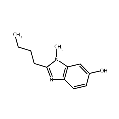 CCCCc1nc2ccc(O)cc2n1C